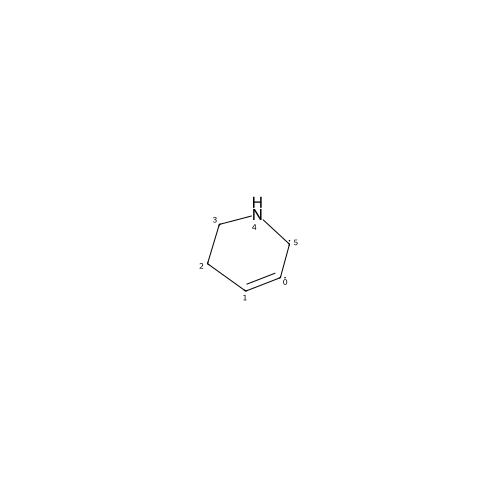 [C]1=CCCN[CH]1